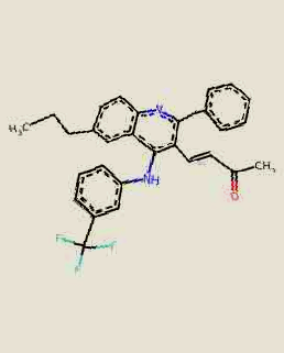 CCCc1ccc2nc(-c3ccccc3)c(/C=C/C(C)=O)c(Nc3cccc(C(F)(F)F)c3)c2c1